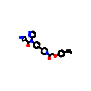 Cc1ccc(OCC(=O)N2CCC(c3ccc(N(C(=O)C4CNC4)c4cccnn4)cc3)CC2)cc1